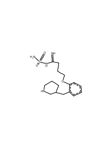 N=C(CCCOc1ccccc1CC1CCCNC1)NS(N)(=O)=O